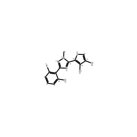 Cn1nc(-c2c(F)cccc2Cl)nc1-c1scc(Cl)c1Cl